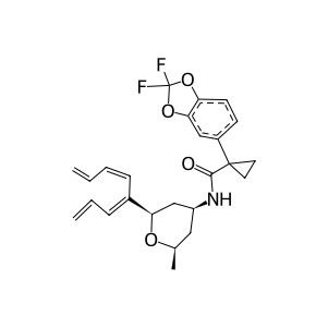 C=C/C=C\C(=C/C=C)[C@H]1C[C@@H](NC(=O)C2(c3ccc4c(c3)OC(F)(F)O4)CC2)C[C@@H](C)O1